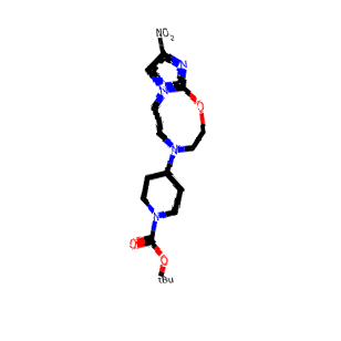 CC(C)(C)OC(=O)N1CCC(N2CCOc3nc([N+](=O)[O-])cn3CC2)CC1